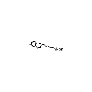 CCCCCCCCCCCCCCN1C=Cc2cc(C)ccc2C1